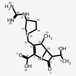 CC(O)C1C(=O)N2C(C(=O)O)=C(CN3CCC(NC(=N)N)C3)C(C)C12